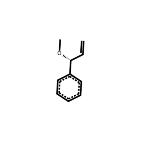 C=C[C@@H](OC)c1ccccc1